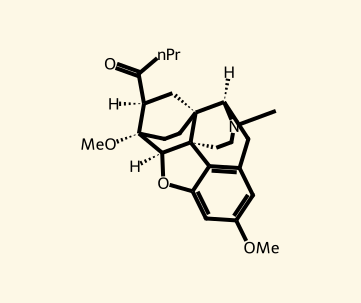 CCCC(=O)[C@H]1C[C@@]23CC[C@@]1(OC)[C@@H]1Oc4cc(OC)cc5c4[C@@]12CCN(C)[C@@H]3C5